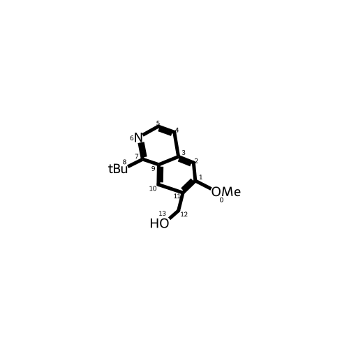 COc1cc2ccnc(C(C)(C)C)c2cc1CO